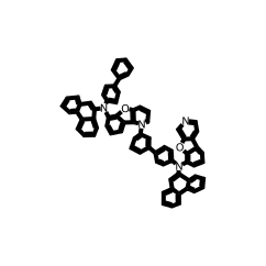 c1ccc(-c2ccc(N(c3cc4ccccc4c4ccccc34)c3cccc4c3oc3ccc[n+](-c5cccc(-c6ccc(N(c7cc8ccccc8c8ccccc78)c7cccc8c7oc7cnccc78)cc6)c5)c34)cc2)cc1